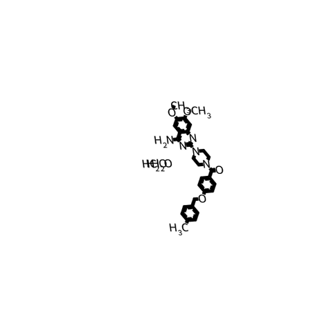 COc1cc2nc(N3CCN(C(=O)c4ccc(OCc5ccc(C)cc5)cc4)CC3)nc(N)c2cc1OC.Cl.O.O